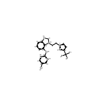 FC(F)(F)c1ccn(CCN2COc3cccc(Oc4ncc(Cl)cn4)c32)n1